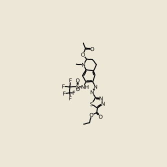 CCOC(=O)c1nnc(N=Nc2cc3c(cc2NS(=O)(=O)C(F)(F)C(F)(F)F)N(C)C(OC(C)=O)CC3)s1